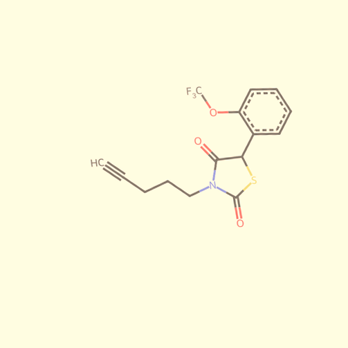 C#CCCCN1C(=O)SC(c2ccccc2OC(F)(F)F)C1=O